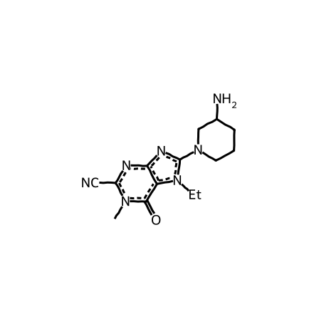 CCn1c(N2CCCC(N)C2)nc2nc(C#N)n(C)c(=O)c21